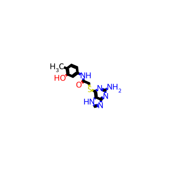 Cc1ccc(NC(=O)CSc2nc(N)nc3nc[nH]c23)cc1O